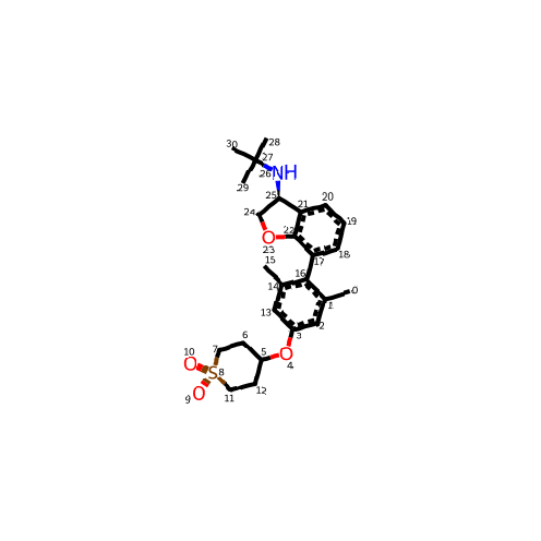 Cc1cc(OC2CCS(=O)(=O)CC2)cc(C)c1-c1cccc2c1OC[C@H]2NC(C)(C)C